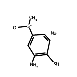 C[S+]([O-])c1ccc(S)c(N)c1.[Na]